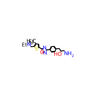 CCN(CC)Cc1sc(-c2nc(-c3ccc(CC(O)CN)cc3)no2)cc1C